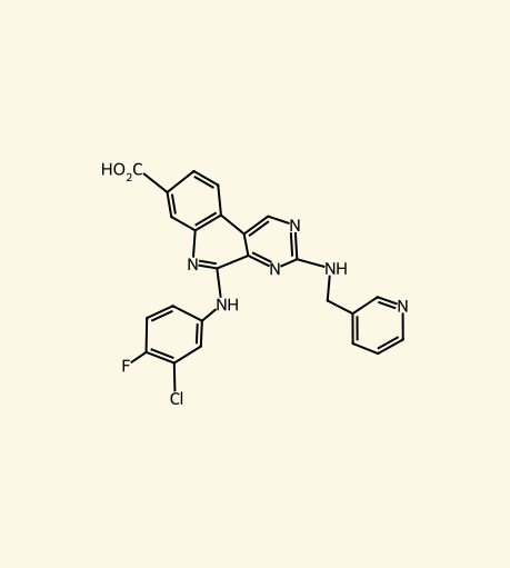 O=C(O)c1ccc2c(c1)nc(Nc1ccc(F)c(Cl)c1)c1nc(NCc3cccnc3)ncc12